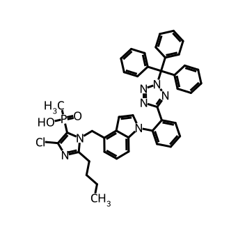 CCCCc1nc(Cl)c(P(C)(=O)O)n1Cc1cccc2c1ccn2-c1ccccc1-c1nnn(C(c2ccccc2)(c2ccccc2)c2ccccc2)n1